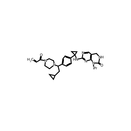 C=CC(=O)N1CCN(C(CC2CC2)c2ccc(C3(Nc4ncc5c(n4)N(C(C)C)C(=O)NC5)CC3)cc2)CC1